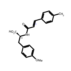 COc1ccc(C[C@H](NC(=O)/C=C/c2ccc(C)cc2)C(=O)O)cc1